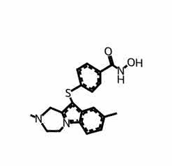 Cc1ccc2c(c1)c(Sc1ccc(C(=O)NO)cc1)c1n2CCN(C)C1